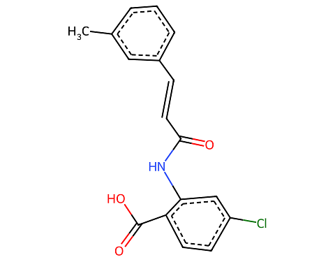 Cc1cccc(C=CC(=O)Nc2cc(Cl)ccc2C(=O)O)c1